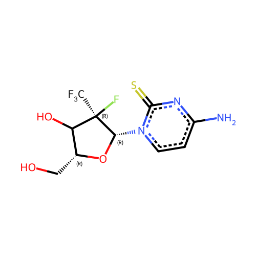 Nc1ccn([C@@H]2O[C@H](CO)C(O)[C@]2(F)C(F)(F)F)c(=S)n1